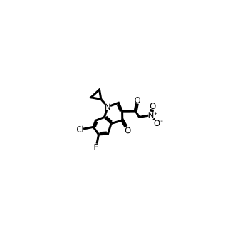 O=C(C[N+](=O)[O-])c1cn(C2CC2)c2cc(Cl)c(F)cc2c1=O